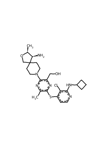 Cc1nc(N2CCC3(CC2)CO[C@@H](C)[C@H]3N)c(CO)nc1Sc1ccnc(NC2CCC2)c1Cl